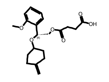 C=C1CCC(O[C@@H](COC(=O)CCC(=O)O)c2ccccc2OC)CC1